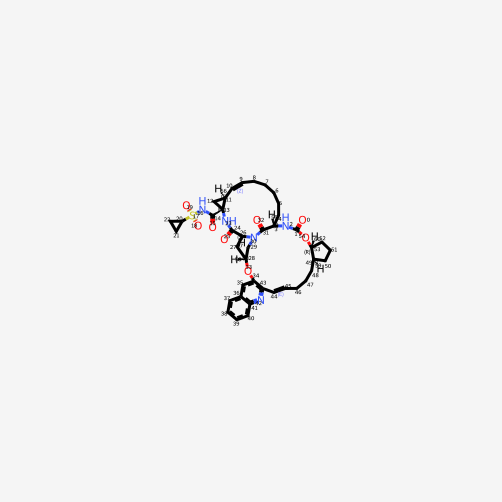 O=C1N[C@H]2CCCCC/C=C\[C@@H]3C[C@@]3(C(=O)NS(=O)(=O)C3CC3)NC(=O)[C@@H]3C[C@H](CN3C2=O)Oc2cc3ccccc3nc2/C=C/CCC[C@@H]2CCC[C@H]2O1